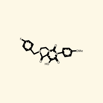 COc1ccc(-n2c(=O)c(O)c3n(c2=O)CCN(Cc2ccc(F)cc2)C3=O)cc1